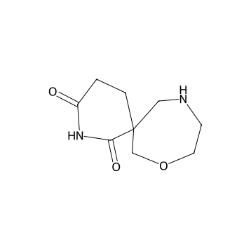 O=C1CCC2(CNCCOC2)C(=O)N1